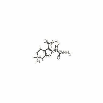 CC[N+]1(C)CCc2c(sc(NC(N)=O)c2C(N)=O)C1